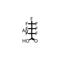 O=C(O)C(F)(F)C(F)(F)C(F)(F)F.[Ag]